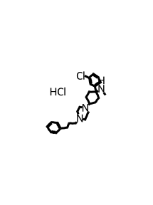 CNC1(c2cccc(Cl)c2)CCC(N2CCN(CCCc3ccccc3)CC2)CC1.Cl